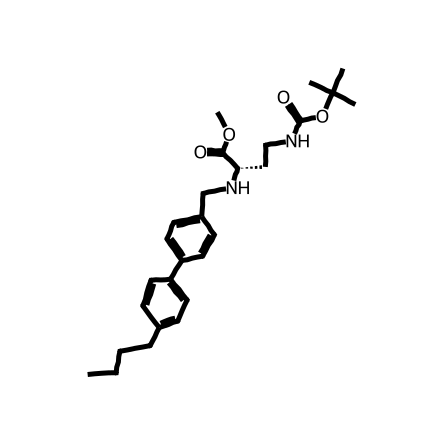 CCCCc1ccc(-c2ccc(CN[C@@H](CCNC(=O)OC(C)(C)C)C(=O)OC)cc2)cc1